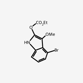 CCOC(=O)Oc1[nH]c2cccc(Br)c2c1OC